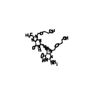 Cc1nc2c(=O)[nH]c(N)nc2n1COCCO.Nc1nc2c(ncn2COCCO)c(=O)[nH]1